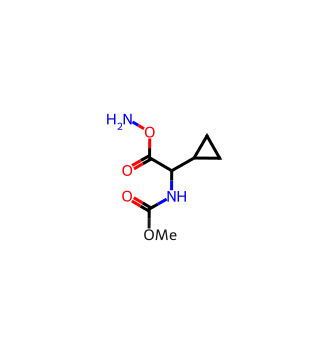 COC(=O)NC(C(=O)ON)C1CC1